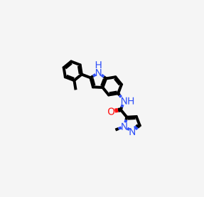 Cc1ccccc1-c1cc2cc(NC(=O)c3ccnn3C)ccc2[nH]1